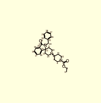 CCOC(=O)N1CCC(N2CCC3(CC2)c2ccccc2C(=O)N3Cc2ccccc2)CC1